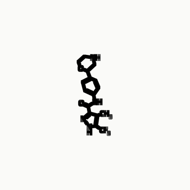 Cc1c(C(=O)Nc2ccc(C3CNCCO3)cc2)n[nH]c1C(F)(F)F